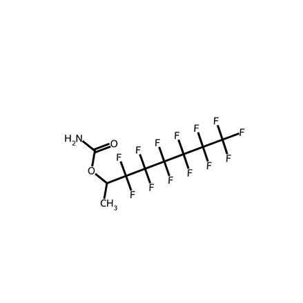 CC(OC(N)=O)C(F)(F)C(F)(F)C(F)(F)C(F)(F)C(F)(F)C(F)(F)F